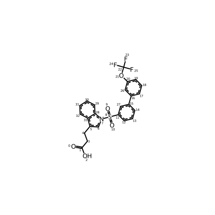 O=C(O)CCc1cn(S(=O)(=O)c2cccc(-c3cccc(OC(F)(F)F)c3)c2)c2ccccc12